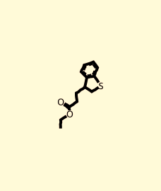 CCOC(=O)CCC1CSc2ccccc21